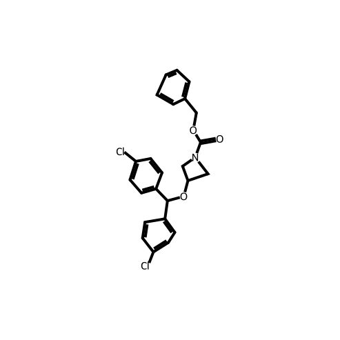 O=C(OCc1ccccc1)N1CC(OC(c2ccc(Cl)cc2)c2ccc(Cl)cc2)C1